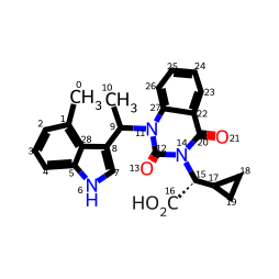 Cc1cccc2[nH]cc(C(C)n3c(=O)n([C@@H](C(=O)O)C4CC4)c(=O)c4ccccc43)c12